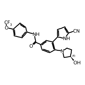 N#Cc1ccc(-c2cc(C(=O)Nc3ccc(OC(F)(F)F)cc3)ccc2N2CC[C@@H](O)C2)[nH]1